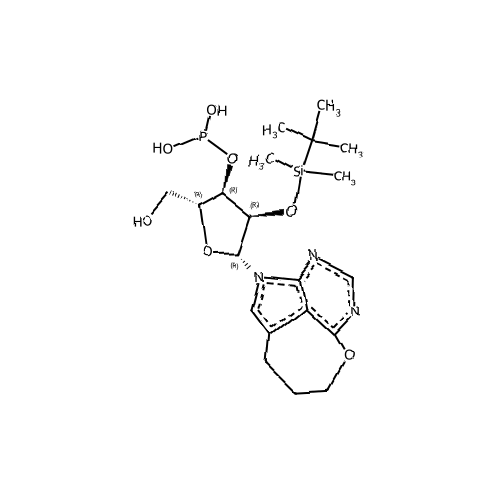 CC(C)(C)[Si](C)(C)O[C@@H]1[C@H](OP(O)O)[C@@H](CO)O[C@H]1n1cc2c3c(ncnc31)OCCC2